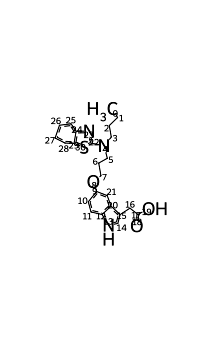 CCCCN(CCCOc1ccc2[nH]cc(CC(=O)O)c2c1)c1nc2ccccc2s1